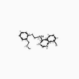 COCc1ccccc1CCNc1ncnc2c(C)cccc12